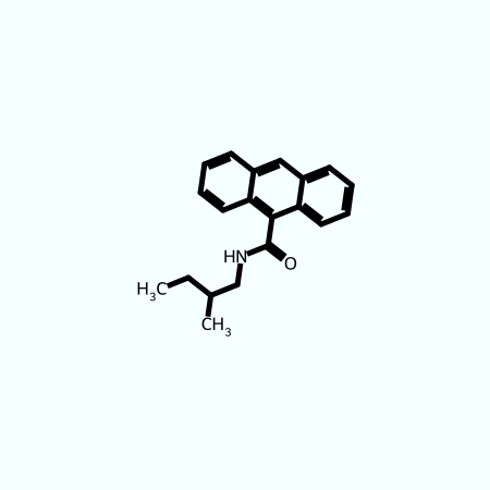 CCC(C)CNC(=O)c1c2ccccc2cc2ccccc12